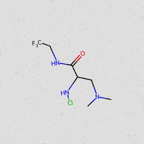 CN(C)CC(NCl)C(=O)NCC(F)(F)F